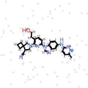 Cc1ccc(Nc2ccc3c(c2)ncn3-c2ccc(CCO)c(N3CC(C#N)C4(CCC4)C3)n2)nn1